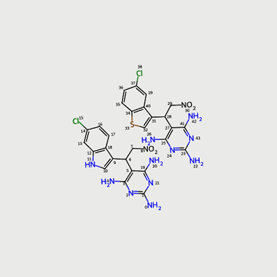 Nc1nc(N)c(C(C[N+](=O)[O-])c2c[nH]c3cc(Cl)ccc23)c(N)n1.Nc1nc(N)c(C(C[N+](=O)[O-])c2csc3ccc(Cl)cc23)c(N)n1